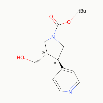 CC(C)(C)OC(=O)N1C[C@@H](CO)[C@H](c2ccncc2)C1